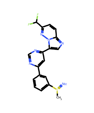 CS(=N)c1cccc(-c2cc(-c3cnc4ccc(C(F)F)nn34)ncn2)c1